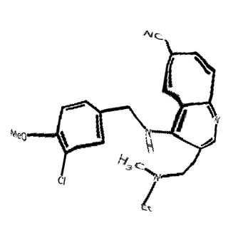 CCN(C)Cc1cnc2ccc(C#N)cc2c1NCc1ccc(OC)c(Cl)c1